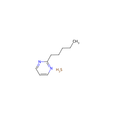 CCCCCc1ncccn1.S